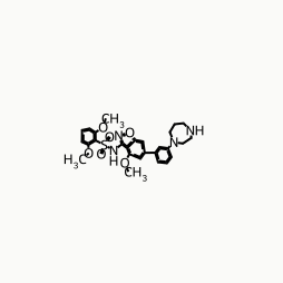 COc1cccc(OC)c1S(=O)(=O)Nc1noc2cc(-c3cccc(N4CCCNCC4)c3)cc(OC)c12